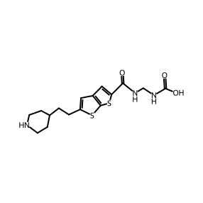 O=C(O)NCNC(=O)c1cc2cc(CCC3CCNCC3)sc2s1